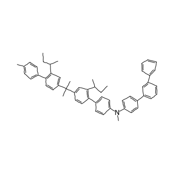 CCC(C)c1cc(C(C)(C)c2ccc(-c3ccc(N(C)c4ccc(-c5cccc(-c6ccccc6)c5)cc4)cc3)c(C(C)CC)c2)ccc1-c1ccc(C)cc1